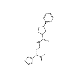 CN(C)[C@@H](CCNC(=O)N1CC[C@@H](c2ccccc2)C1)c1ccsc1